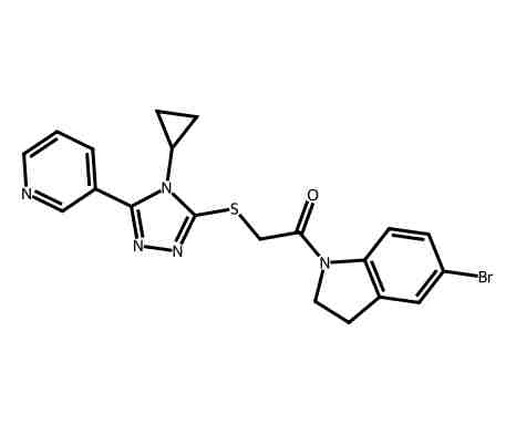 O=C(CSc1nnc(-c2cccnc2)n1C1CC1)N1CCc2cc(Br)ccc21